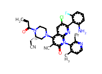 C=CC(=O)N1CCN(c2c(C#N)c(=O)n(-c3c(C)ccnc3C(C)C)c3nc(-c4c(N)cccc4F)c(Cl)cc23)C[C@@H]1CC#N